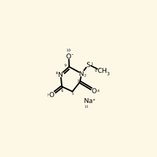 CSN1C(=O)CC(=O)N=C1[O-].[Na+]